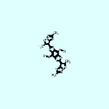 CCOc1c2c(c(OCC)c3c1SC(=c1c(C)nn4nc(C)nc14)S3)SC(=c1c(C)nn3nc(C)nc13)S2